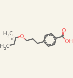 CC[C@H](C)OCCCc1ccc(C(=O)O)cc1